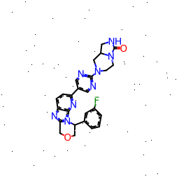 O=C1NCC2CN(c3ncc(-c4ccc5nc6n(c5n4)C(c4cccc(F)c4)COC6)cn3)CCN12